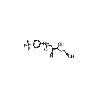 C#CCC/C(O)=C(\C#N)CC(=O)Nc1ccc(C(F)(F)F)cc1